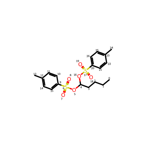 CCCCC(OS(=O)(=O)c1ccc(C)cc1)OS(=O)(=O)c1ccc(C)cc1